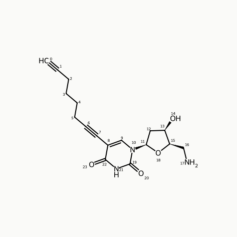 C#CCCCCC#Cc1cn([C@H]2C[C@@H](O)[C@@H](CN)O2)c(=O)[nH]c1=O